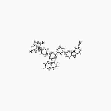 N#Cc1ccc2oc3ccc(-c4cccc(-c5nc(-c6ccc(C78C[C@H]9C[C@@H](C7)C[C@@H](C8)C9)cc6)nc(-c6cccc7ccccc67)n5)c4)cc3c2c1